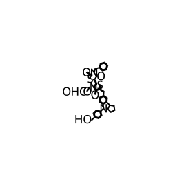 O=COCn1c(=O)/c(=C\c2ccc3c(c2)C2CCCC2N3c2ccc(CO)cc2)s/c1=C1/SC(=O)N(Cc2ccccc2)C1=O